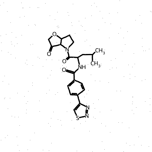 CC(C)CC(NC(=O)c1ccc(-c2csnn2)cc1)C(=O)N1CCC2OCC(=O)C21